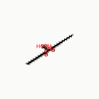 CCCCCCCCCCCCCCCCCC(=O)OCC(COC(=O)CCCCCCCCCCCCCCC)OCC(O)CO